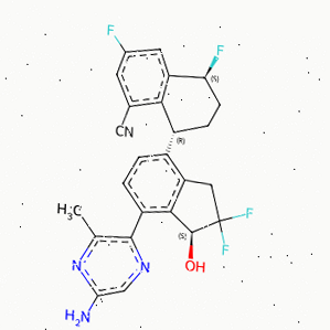 Cc1nc(N)cnc1-c1ccc([C@H]2CC[C@H](F)c3cc(F)cc(C#N)c32)c2c1[C@H](O)C(F)(F)C2